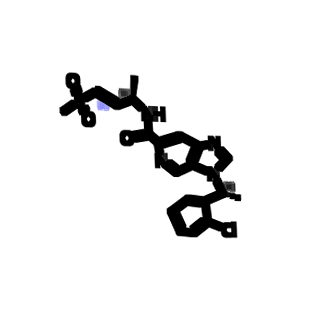 C[C@H](/C=C/S(C)(=O)=O)NC(=O)c1cc2ncn([C@H](C)c3ccccc3Cl)c2cn1